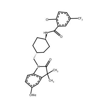 COc1ccc2c(c1)C(C)(C)C(=O)N2C[C@H]1CC[C@H](NC(=O)c2cc(C(F)(F)F)ccc2Cl)CC1